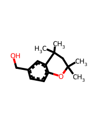 CC1(C)CC(C)(C)c2cc(CO)ccc2O1